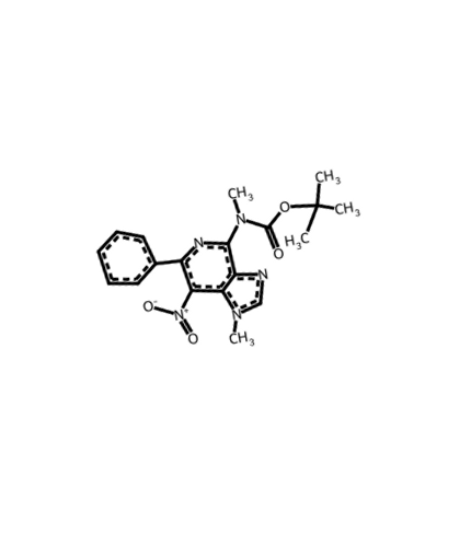 CN(C(=O)OC(C)(C)C)c1nc(-c2ccccc2)c([N+](=O)[O-])c2c1ncn2C